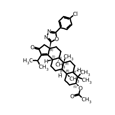 CC(=O)O[C@H]1CC[C@]2(C)[C@H]3CC[C@@H]4C5=C(C(C)C)C(=O)C[C@]5(c5nnc(-c6ccc(Cl)cc6)o5)CC[C@@]4(C)[C@]3(C)CC[C@H]2C1(C)C